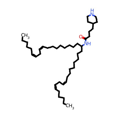 CCCCC/C=C\C/C=C\CCCCCCCCC(CCCCCCCC/C=C\C/C=C\CCCCC)NC(=O)CCCC1CCNCC1